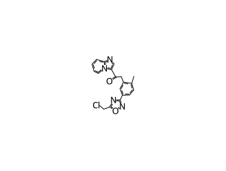 Cc1ccc(-c2noc(CCl)n2)cc1CC(=O)c1cnc2ccccn12